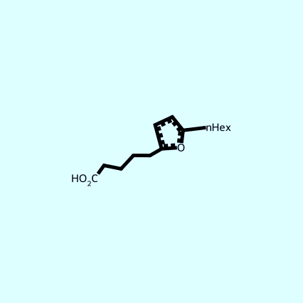 CCCCCCc1ccc(CCCCC(=O)O)o1